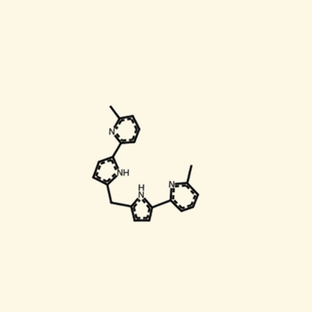 Cc1cccc(-c2ccc(Cc3ccc(-c4cccc(C)n4)[nH]3)[nH]2)n1